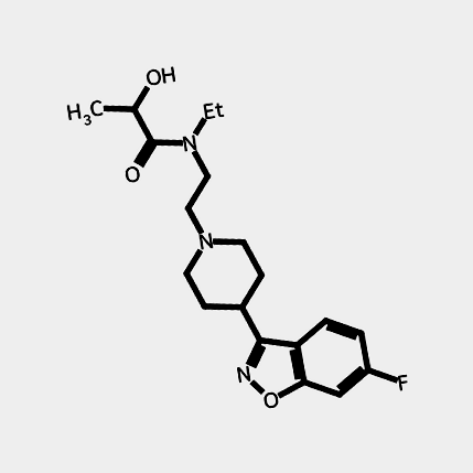 CCN(CCN1CCC(c2noc3cc(F)ccc23)CC1)C(=O)C(C)O